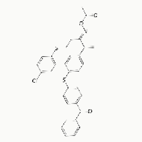 C=C(/C(CCSc1ccc(Cl)cc1)=N/OC(C)=O)c1ccc(Sc2ccc(C(=O)c3ccccc3)cc2)cc1